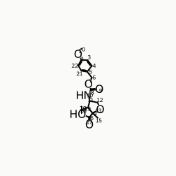 COc1ccc(COC(=O)NC2COC(C)(C(=O)O)C2I)cc1